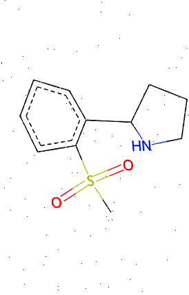 CS(=O)(=O)c1ccccc1C1CCCN1